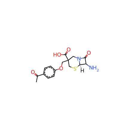 CC(=O)c1ccc(OCC2(C(=O)O)CS[C@@H]3C(N)C(=O)N3C2)cc1